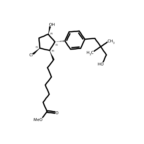 COC(=O)CCCCCC[C@@H]1[C@@H](c2ccc(CC(C)(C)CO)cc2)[C@H](O)C[C@@H]1Cl